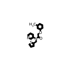 Cc1cccc(OCC(=O)N(Cc2cccs2)c2cccnc2)c1